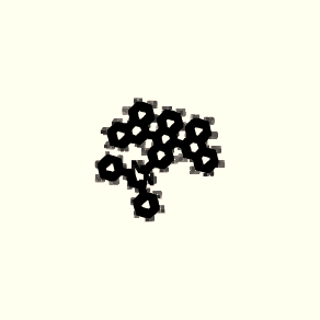 c1ccc(-c2cc(-c3ccccc3)nc(-c3ccc4c(-c5cc6ccccc6c6ccccc56)c5ccccc5c(-c5cc6ccccc6c6ccccc56)c4c3)n2)cc1